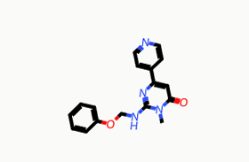 Cn1c(NCOc2ccccc2)nc(-c2ccncc2)cc1=O